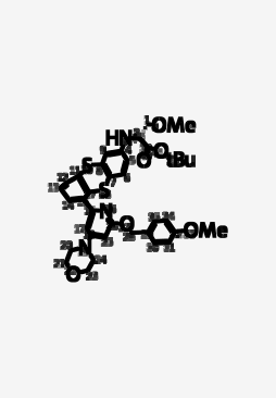 COC[C@@H](Nc1ccc2c(c1)Sc1cccc(-c3cc(N4CCOCC4)cc(OCc4ccc(OC)cc4)n3)c1S2)C(=O)OC(C)(C)C